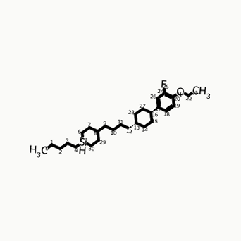 CCCCC[SiH]1CCC(CCCC[C@H]2CC[C@H](c3ccc(OCC)c(F)c3)CC2)CC1